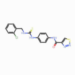 O=C(Nc1ccc(NC(=S)NCc2ccccc2Cl)cc1)c1csnn1